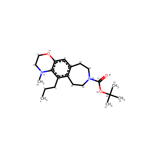 CCCc1c2c(cc3c1N(C)CCO3)CCN(C(=O)OC(C)(C)C)CC2